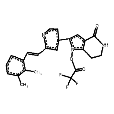 Cc1cccc(C=Cc2cc(-c3cc4c(n3OC(=O)C(F)(F)F)CCNC4=O)ccn2)c1C